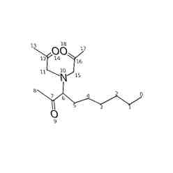 CCCCCCC(C(C)=O)N(CC(C)=O)CC(C)=O